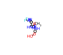 COc1nc(N[C@H]2CC[C@H](OCCO)CC2)nc2[nH]cc(-c3ccc4nnn(CC(F)F)c4c3)c12